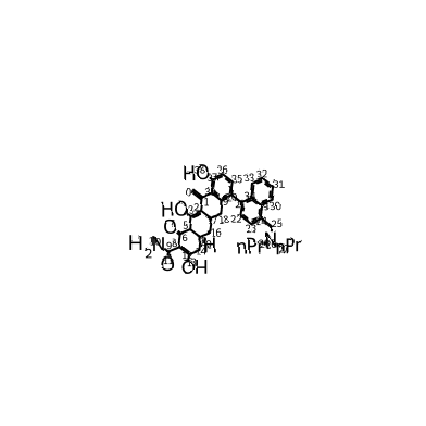 C=C1C2=C(O)C3C(=O)C(C(N)=O)=C(O)C[C@@H]3CC2Cc2c(-c3ccc(CN(CCC)CCC)c4ccccc34)ccc(O)c21